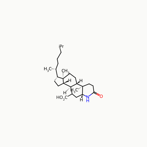 CC(C)CCC[C@@H](C)[C@H]1CC[C@H]2[C@@H]3C(C(=O)O)C[C@H]4NC(=O)CC[C@]4(C)[C@H]3CC[C@]12C